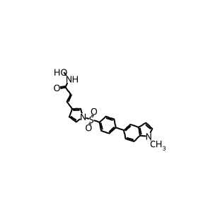 Cn1ccc2cc(-c3ccc(S(=O)(=O)n4ccc(C=CC(=O)NO)c4)cc3)ccc21